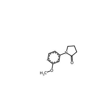 COc1[c]ccc(N2CCCC2=O)c1